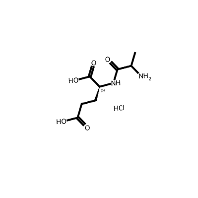 CC(N)C(=O)N[C@@H](CCC(=O)O)C(=O)O.Cl